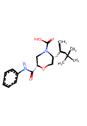 CC([C@@H]1CO[C@H](C(=O)Nc2ccccc2)CN1C(=O)O)C(C)(C)C